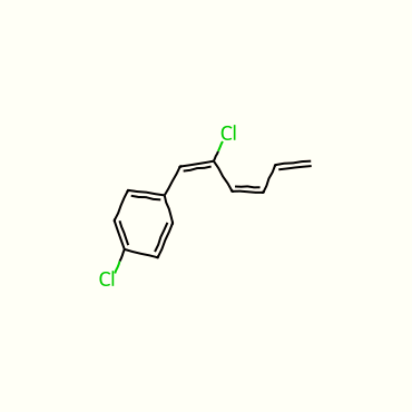 C=C/C=C\C(Cl)=C/c1ccc(Cl)cc1